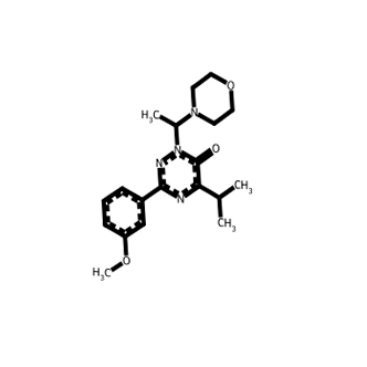 COc1cccc(-c2nc(C(C)C)c(=O)n(C(C)N3CCOCC3)n2)c1